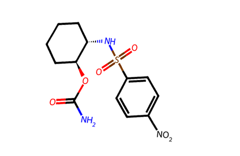 NC(=O)O[C@H]1CCCC[C@@H]1NS(=O)(=O)c1ccc([N+](=O)[O-])cc1